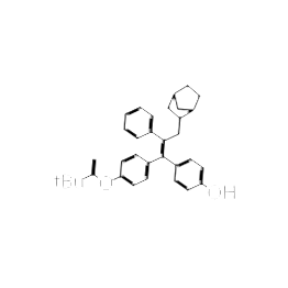 C=C(Oc1ccc(/C(=C(/CC2CC3CCC2C3)c2ccccc2)c2ccc(O)cc2)cc1)C(C)(C)C